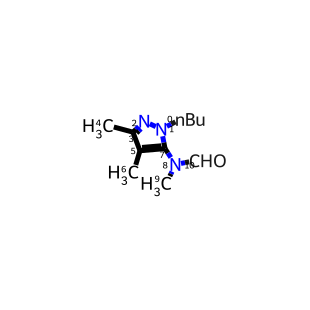 CCCCn1nc(C)c(C)c1N(C)C=O